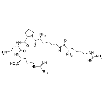 N=C(N)NCCCC[C@H](N)C(=O)NCCCC[C@H](N)C(=O)N1CCCC1C(=O)N[C@@H](CCN)C(=O)N[C@@H](CCCNC(=N)N)C(=O)O